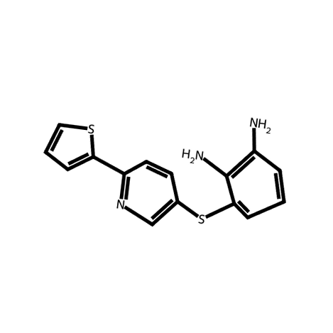 Nc1cccc(Sc2ccc(-c3cccs3)nc2)c1N